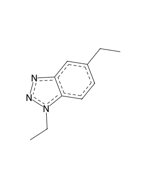 CCc1ccc2c(c1)nnn2CC